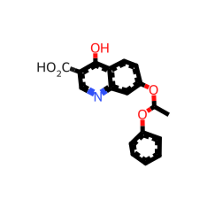 CC(Oc1ccccc1)Oc1ccc2c(O)c(C(=O)O)cnc2c1